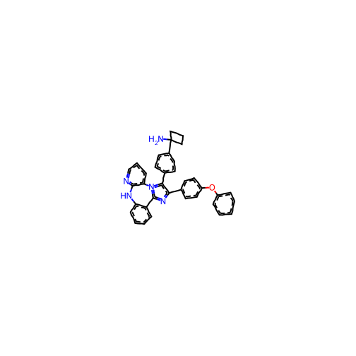 NC1(c2ccc(-c3c(-c4ccc(Oc5ccccc5)cc4)nc4n3-c3cccnc3Nc3ccccc3-4)cc2)CCC1